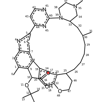 Cc1cc2nc3sc2c(c1C(OC(C)(C)C)C(=O)O)-c1ccc2c(c1)C(CCCCC(C)CC1CN(C)CCN1c1nccc-3n1)CCO2